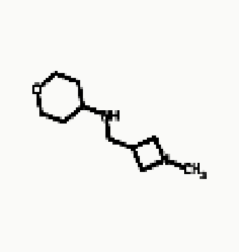 CN1CC(CNC2CCOCC2)C1